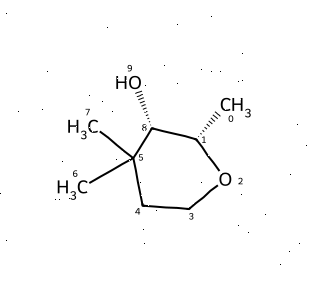 C[C@@H]1OCCC(C)(C)[C@@H]1O